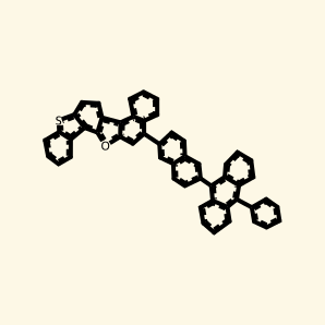 c1ccc(-c2c3ccccc3c(-c3ccc4cc(-c5cc6oc7c(ccc8sc9ccccc9c87)c6c6ccccc56)ccc4c3)c3ccccc23)cc1